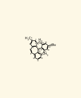 Cc1cnc2c(c1)C=Cc1cccnc1N2c1c(C)cc(C(C)(C)C)cc1C